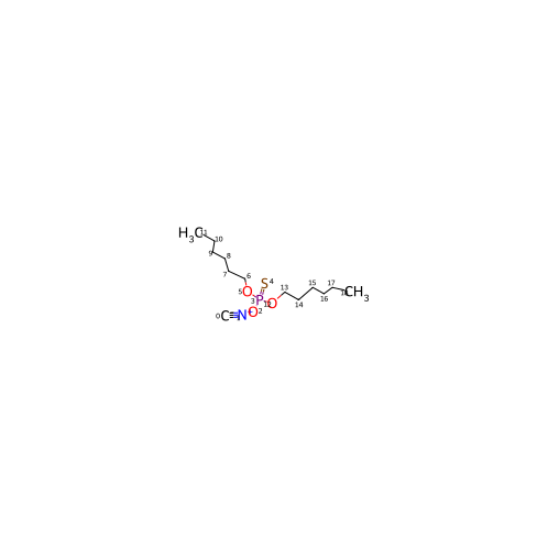 [C-]#[N+]OP(=S)(OCCCCCC)OCCCCCC